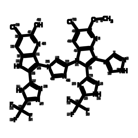 COc1nc2c(-c3cn[nH]c3)c(-c3n[nH]c(C(F)(F)F)n3)n(-c3cn(-c4c(-c5nnc(C(F)(F)F)[nH]5)[nH]c5cc(Cl)c(O)nc45)cn3)c2cc1Cl